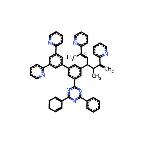 C=C(c1ccccn1)C(C)C(/C=C(\C)c1ccccn1)c1cc(-c2cc(-c3ccccn3)cc(-c3ccccn3)c2)cc(-c2nc(C3=CCCC=C3)nc(-c3ccccc3)n2)c1